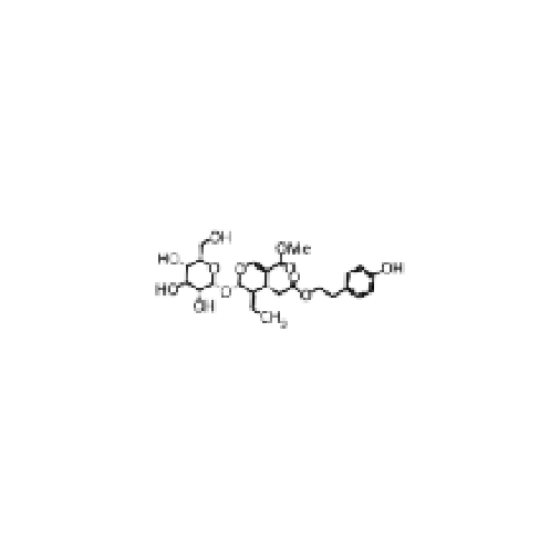 C/C=C1/[C@H](O[C@H]2O[C@H](CO)[C@@H](O)[C@H](O)[C@H]2O)OC=C(C(=O)OC)[C@H]1CC(=O)OCCc1ccc(O)cc1